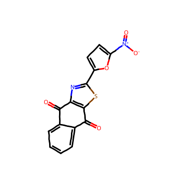 O=C1c2ccccc2C(=O)c2sc(-c3ccc([N+](=O)[O-])o3)nc21